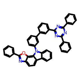 c1ccc(-c2nc(-c3ccccc3)nc(-c3cccc(-c4cccc(-n5c6ccccc6c6ccc7nc(-c8ccccc8)oc7c65)c4)c3)n2)cc1